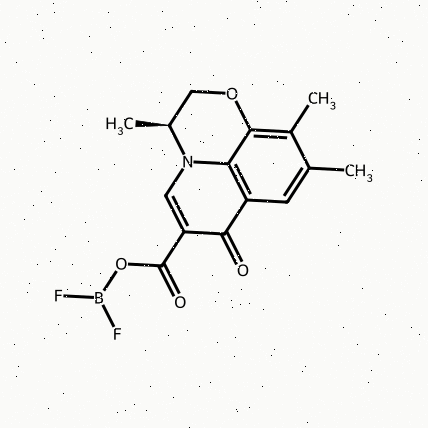 Cc1cc2c(=O)c(C(=O)OB(F)F)cn3c2c(c1C)OC[C@@H]3C